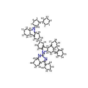 c1ccc(-c2cccc(-n3c4ccccc4c4cc(-c5ccc6c(c5)c5c7cccc8c7c(cc5n6-c5nc(-c6ccccc6)c6ccccc6n5)-c5ccccc5-8)ccc43)c2)cc1